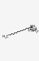 CCCCCCCCCCCCCCCCC(N)(CC)C(N)=O